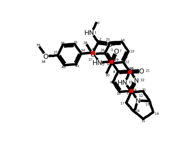 CNC(=O)[C@@H](NC(=O)c1ccc(N2C3CCC2CC(NC(=O)c2cccc(OC)c2C)C3)nc1)c1ccc(OC)cc1